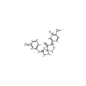 COc1ccc(N2CCC3(CCN(Cc4cccc(Cl)c4)C3)C2=O)cc1C